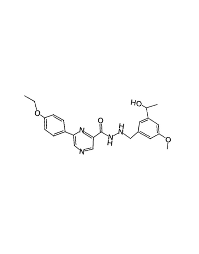 CCOc1ccc(-c2cncc(C(=O)NNCc3cc(OC)cc(C(C)O)c3)n2)cc1